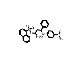 CC[S+]([O-])c1ccc(OC(CC(NC)OS(=O)(=O)c2cccc3ccccc23)c2ccccc2)cc1